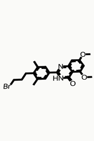 COc1cc(OC)c2c(=O)[nH]c(-c3cc(C)c(CCCBr)c(C)c3)nc2c1